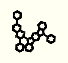 c1ccc(-c2ccc3nc(-c4ccccc4)c(-n4c5ccccc5c5cc6c(cc54)c4ccccc4n6-c4ccccc4)nc3c2)cc1